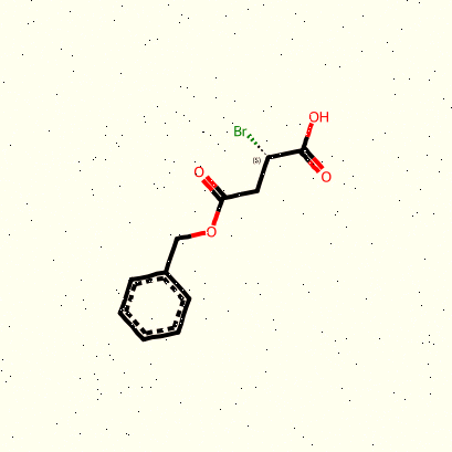 O=C(C[C@H](Br)C(=O)O)OCc1ccccc1